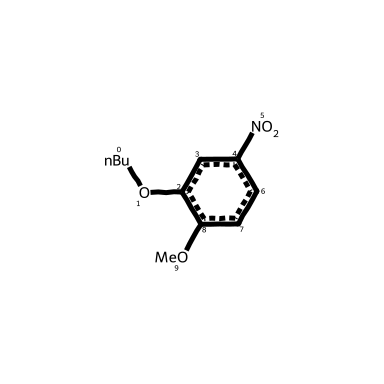 CCCCOc1cc([N+](=O)[O-])ccc1OC